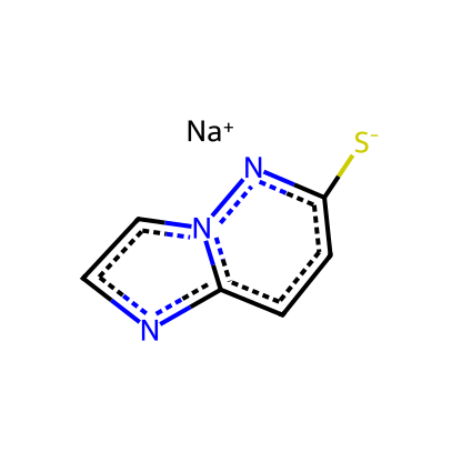 [Na+].[S-]c1ccc2nccn2n1